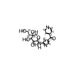 O=C(c1ccncc1)c1cnc(N[C@H]2OC[C@@](O)(CCO)C(O)C2O)s1